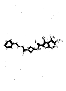 Cc1nnc2sc(C(=O)NC3CN(C(=O)CCCc4ccccc4)C3)c(N)c2c1C